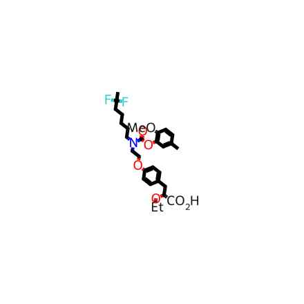 CCOC(Cc1ccc(OCCN(CCCCCC(C)(F)F)C(=O)Oc2cc(C)ccc2OC)cc1)C(=O)O